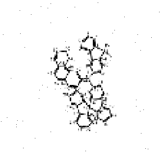 CC1(C)c2ccccc2-c2cc(N(c3ccc4c(c3)C3(c5ccccc5-c5ccccc53)c3ccccc3-4)c3ccc4ccc5c(c4c3)CCC=C5)ccc21